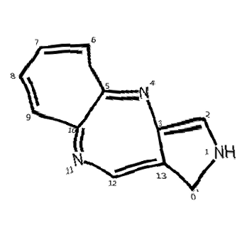 [CH]1NC=C2N=c3ccccc3=NC=C12